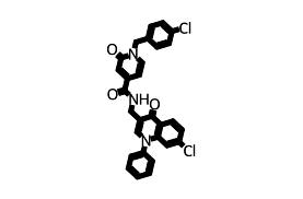 O=C(NCc1cn(-c2ccccc2)c2cc(Cl)ccc2c1=O)c1ccn(Cc2ccc(Cl)cc2)c(=O)c1